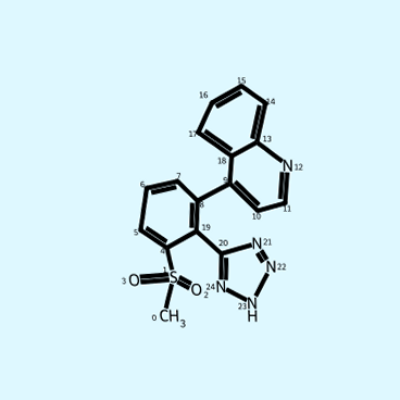 CS(=O)(=O)c1cccc(-c2ccnc3ccccc23)c1-c1nn[nH]n1